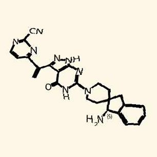 C=C(c1ccnc(C#N)n1)c1n[nH]c2nc(N3CCC4(CC3)Cc3ccccc3[C@H]4N)[nH]c(=O)c12